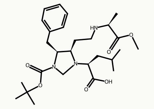 COC(=O)[C@H](C)NCC[C@@H]1[C@H](Cc2ccccc2)N(C(=O)OC(C)(C)C)CN1[C@@H](CC(C)C)C(=O)O